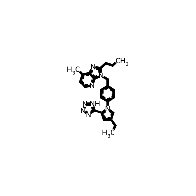 CCCc1nc2c(C)ccnc2n1Cc1ccc(-n2cc(CC)cc2-c2nnn[nH]2)cc1